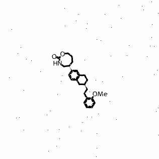 COc1ccccc1CC[C@@H]1CCc2cc([C@H]3CCCOC(=O)NC3)ccc2C1